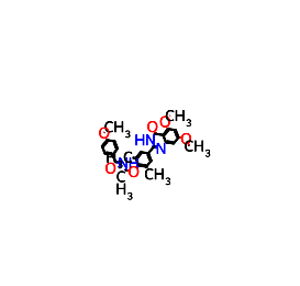 COc1ccc(C(=O)NC(C)Oc2c(C)cc(-c3nc4cc(OC)cc(OC)c4c(=O)[nH]3)cc2C)cc1